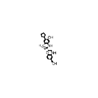 C#Cc1ccc2c(c1)NC[C@@H](C(=O)Nc1cc(O)c(C3CCCC3)cc1C)O2